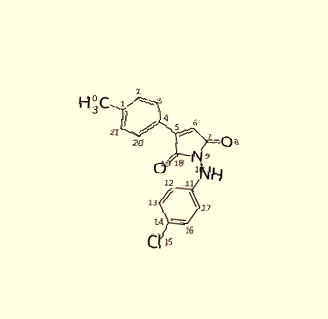 Cc1ccc(C2=CC(=O)N(Nc3ccc(Cl)cc3)C2=O)cc1